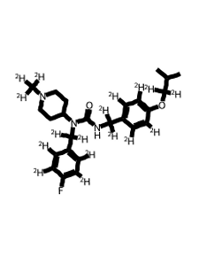 [2H]c1c([2H])c(C([2H])([2H])N(C(=O)NC([2H])([2H])c2c([2H])c([2H])c(OC([2H])([2H])C(C)C)c([2H])c2[2H])C2CCN(C([2H])([2H])[2H])CC2)c([2H])c([2H])c1F